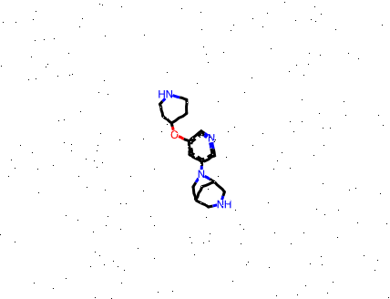 c1ncc(N2CC3CNCC2C3)cc1OC1CCNCC1